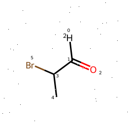 [2H]C(=O)C(C)Br